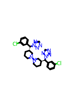 Clc1cccc(C([C@H]2CCCN(N3CCC[C@H](C(c4cccc(Cl)c4)n4ncnn4)C3)C2)n2ncnn2)c1